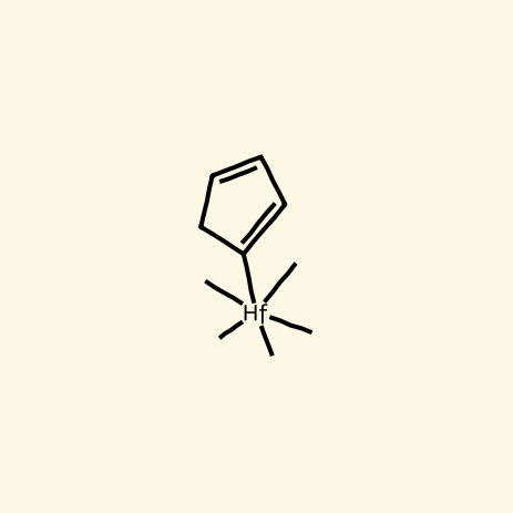 [CH3][Hf]([CH3])([CH3])([CH3])([CH3])[C]1=CC=CC1